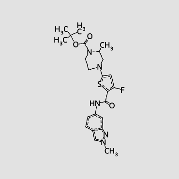 CC1CN(c2cc(F)c(C(=O)Nc3ccc4cn(C)nc4c3)s2)CCN1C(=O)OC(C)(C)C